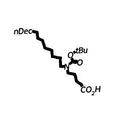 CCCCCCCCCCCCCCCCCCN(CCCCC(=O)O)C(=O)OC(C)(C)C